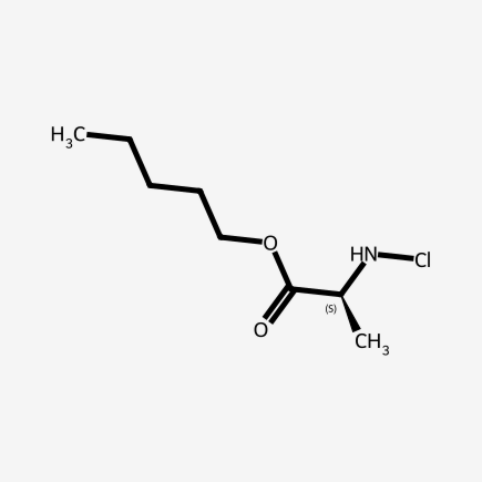 CCCCCOC(=O)[C@H](C)NCl